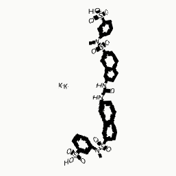 CN(c1cccc(S(=O)(=O)O)c1)S(=O)(=O)c1ccc2ccc(NC(=O)Nc3ccc4ccc(S(=O)(=O)N(C)c5cccc(S(=O)(=O)O)c5)cc4c3)cc2c1.[K].[K]